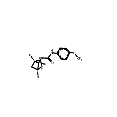 O=C(Nc1ccc(OC(F)(F)F)cc1)N[C@H]1[C@H]2CN[C@@H]1C2